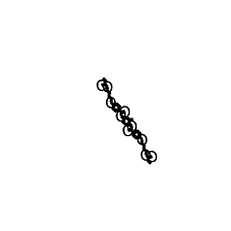 C=CC(=O)OCCCCOc1ccc(C(=O)OC2=CCC(OC(=O)c3ccc(OCCCCOC(=O)C=C)cc3)C(C)=C2)cc1